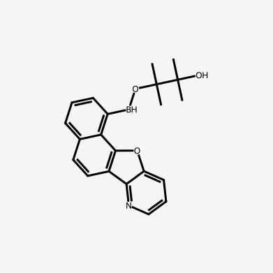 CC(C)(O)C(C)(C)OBc1cccc2ccc3c4ncccc4oc3c12